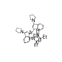 CCC(=O)[NH][Ga]([NH]C(=O)CC)[Zr]([CH]1C=C(N2CCCC2)c2ccccc21)[CH]1C=C(N2CCCC2)c2ccccc21